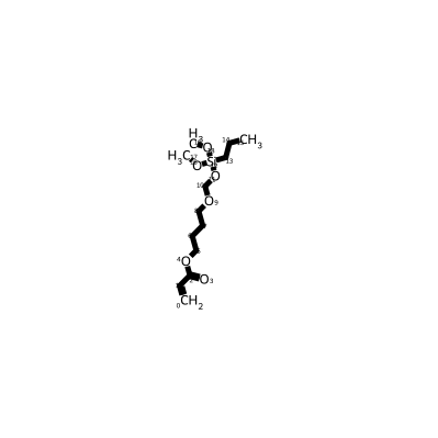 C=CC(=O)OCCCCOCO[Si](CCC)(OC)OC